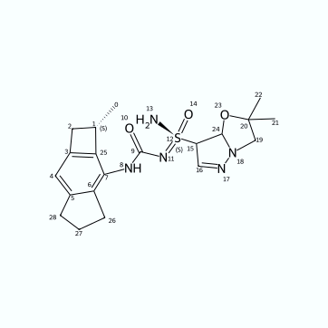 C[C@H]1Cc2cc3c(c(NC(=O)N=[S@](N)(=O)C4C=NN5CC(C)(C)OC45)c21)CCC3